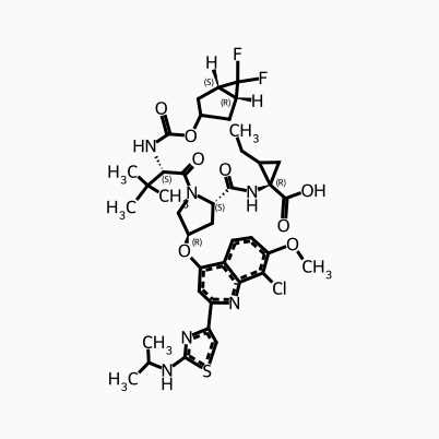 CCC1C[C@]1(NC(=O)[C@@H]1C[C@@H](Oc2cc(-c3csc(NC(C)C)n3)nc3c(Cl)c(OC)ccc23)CN1C(=O)[C@@H](NC(=O)OC1C[C@@H]2[C@H](C1)C2(F)F)C(C)(C)C)C(=O)O